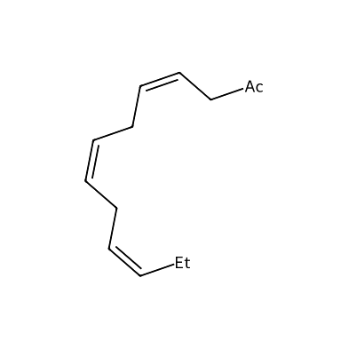 CC/C=C\C/C=C\C/C=C\CC(C)=O